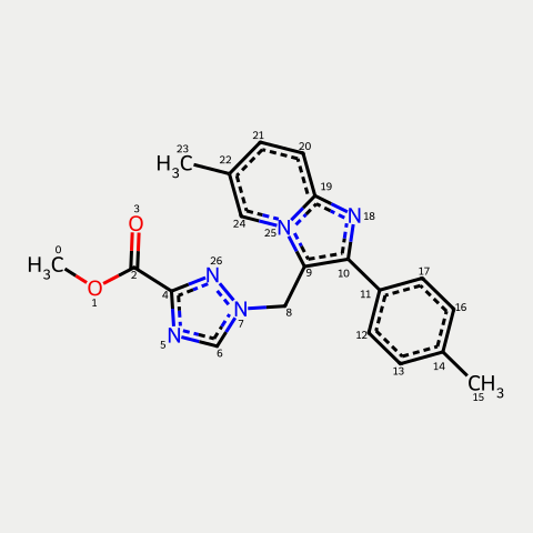 COC(=O)c1ncn(Cc2c(-c3ccc(C)cc3)nc3ccc(C)cn23)n1